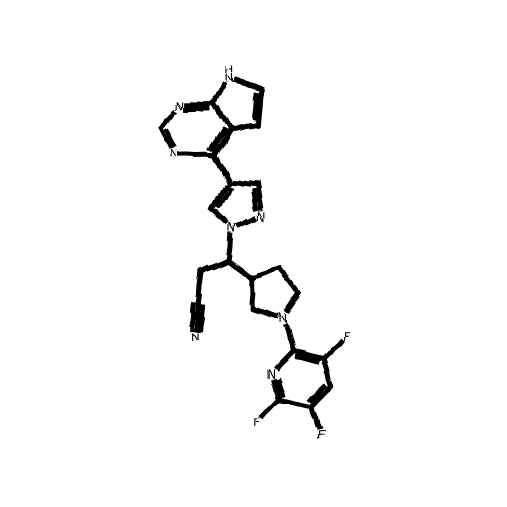 N#CCC(C1CCN(c2nc(F)c(F)cc2F)C1)n1cc(-c2ncnc3[nH]ccc23)cn1